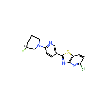 F[C@H]1CCCN(c2ccc(-c3nc4nc(Cl)ccc4s3)cn2)C1